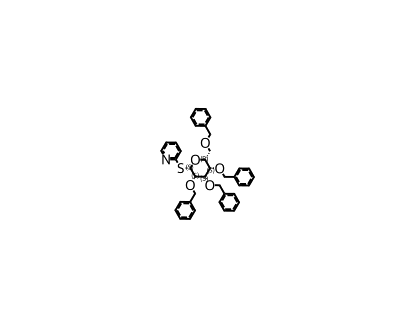 c1ccc(COC[C@H]2O[C@@H](Sc3ccccn3)[C@@H](OCc3ccccc3)[C@@H](OCc3ccccc3)[C@H]2OCc2ccccc2)cc1